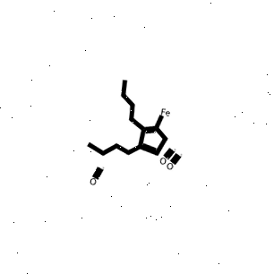 CCCCC1=CC[C]([Fe])=C1CCCC.[C]=O.[C]=O.[C]=O